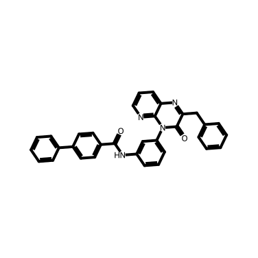 O=C(Nc1cccc(-n2c(=O)c(Cc3ccccc3)nc3cccnc32)c1)c1ccc(-c2ccccc2)cc1